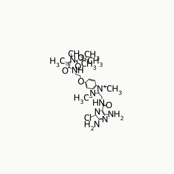 CCn1c(CNC(=O)c2nc(Cl)c(N)nc2N)[n+](CC)c2ccc(OCCNC(=O)[C@H](C)N(C)C(=O)OC(C)(C)C)cc21